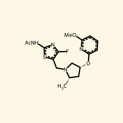 COc1cccc(O[C@@H]2C[C@H](C)N(Cc3sc(NC(C)=O)nc3F)C2)n1